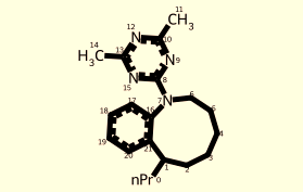 CCCC1CCCCCN(c2nc(C)nc(C)n2)c2ccccc21